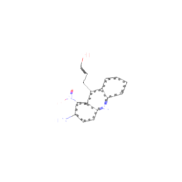 Nc1ccc2nc3ccccc3c(CC=CO)c2c1[N+](=O)[O-]